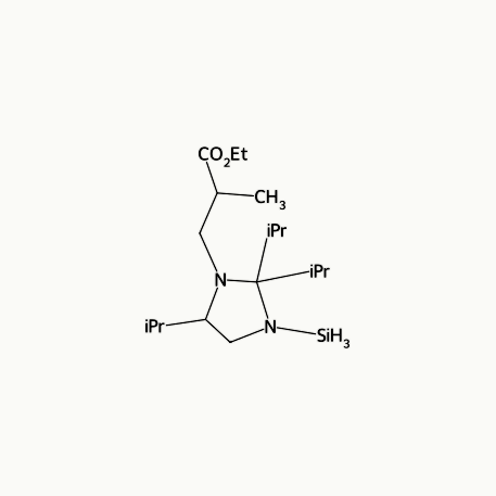 CCOC(=O)C(C)CN1C(C(C)C)CN([SiH3])C1(C(C)C)C(C)C